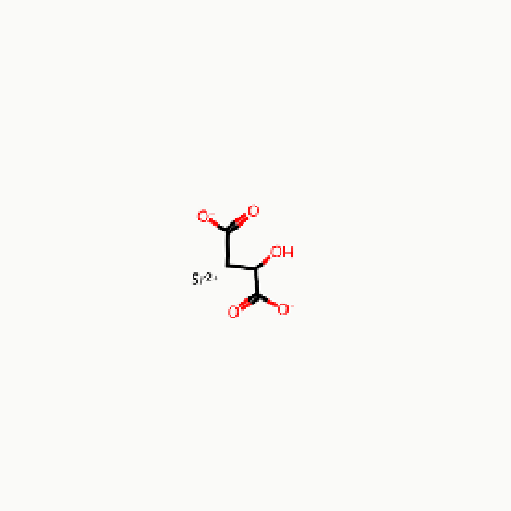 O=C([O-])CC(O)C(=O)[O-].[Sr+2]